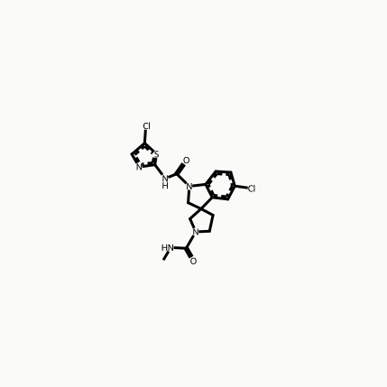 CNC(=O)N1CCC2(C1)CN(C(=O)Nc1ncc(Cl)s1)c1ccc(Cl)cc12